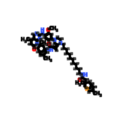 COc1cc(N2CCN(CCCCCCCCCCCCNC(=O)CC3(C)CC4CC(C)CP(C4)C3)CC2)ccc1Nc1ncc2c(C)cc(=O)n(C3(C)CC4CC(C)CC(NC(=O)C5CC5)(C4)C3)c2n1